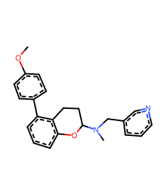 COc1ccc(-c2cccc3c2CCC(N(C)Cc2cccnc2)O3)cc1